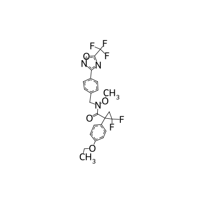 CCOc1ccc(C2(C(=O)N(Cc3ccc(-c4noc(C(F)(F)F)n4)cc3)OC)CC2(F)F)cc1